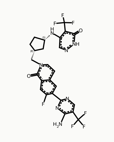 Nc1nc(-c2cc3ccn(C[C@@H]4CC[C@H](Nc5cn[nH]c(=O)c5C(F)(F)F)C4)c(=O)c3cc2F)ncc1C(F)(F)F